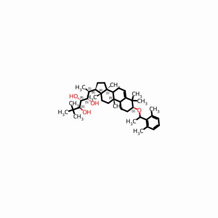 Cc1cccc(C)c1C(C)O[C@H]1CCC2C(=CCC3[C@@]2(C)CC[C@]2(C)[C@@H]([C@H](C)[C@H](O)[C@@H](O)[C@@H](O)C(C)(C)C)CC[C@@]32C)C1(C)C